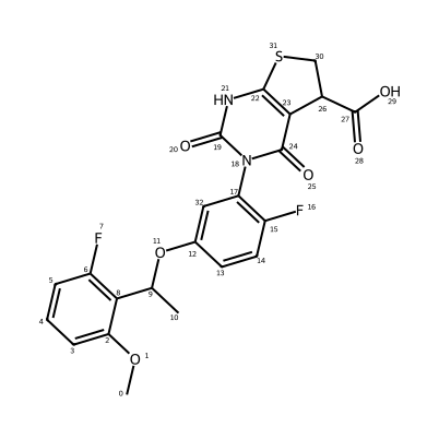 COc1cccc(F)c1C(C)Oc1ccc(F)c(-n2c(=O)[nH]c3c(c2=O)C(C(=O)O)CS3)c1